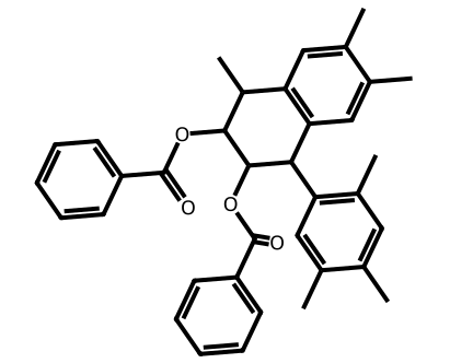 Cc1cc(C)c(C2c3cc(C)c(C)cc3C(C)C(OC(=O)c3ccccc3)C2OC(=O)c2ccccc2)cc1C